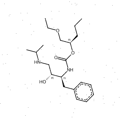 CCC[C@H](COCC)OC(=O)N[C@@H](Cc1ccccc1)[C@H](O)CNC(C)C